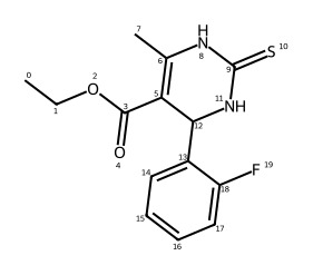 CCOC(=O)C1=C(C)NC(=S)NC1c1ccccc1F